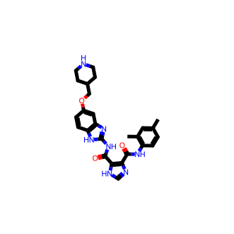 Cc1ccc(NC(=O)c2nc[nH]c2C(=O)Nc2nc3cc(OCC4CCNCC4)ccc3[nH]2)c(C)c1